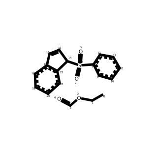 CCOC=O.O=S(=O)(c1ccccc1)C1C=Cc2ccccc21